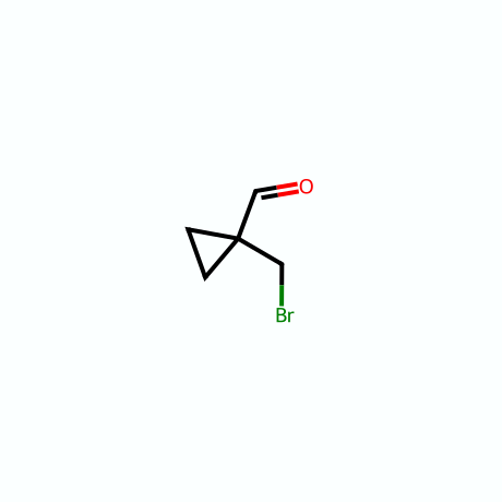 O=CC1(CBr)CC1